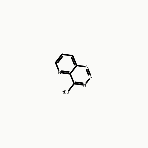 CC(C)(C)c1nnnc2cccnc12